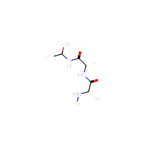 CCCC(O)NC(=O)[C@H](C)NC(=O)[C@@H](NCC)C(C)C